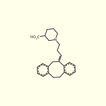 O=C(O)C1CCCN(CCC=C2Cc3ccccc3CCc3ccccc32)C1